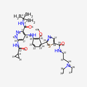 BC(B)(B)NC(=O)c1nnc(NC(=O)C2CC2)cc1Nc1cccc(-c2ncc(C(=O)NCCCN(CC)CC)s2)c1OC